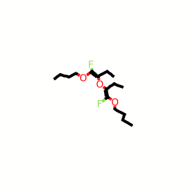 CCCCOC(F)=C(CC)OC(CC)=C(F)OCCCC